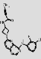 CC#CC(=O)NC1CN(c2ccc3ncnc(Nc4cccc(Cl)c4F)c3n2)C1